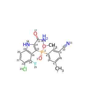 COP(=O)(c1cc(C)cc(C#N)c1)c1c(C(N)=O)[nH]c2ccc(Cl)c(F)c12